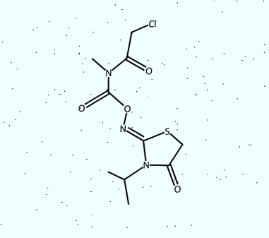 CC(C)N1C(=O)CSC1=NOC(=O)N(C)C(=O)CCl